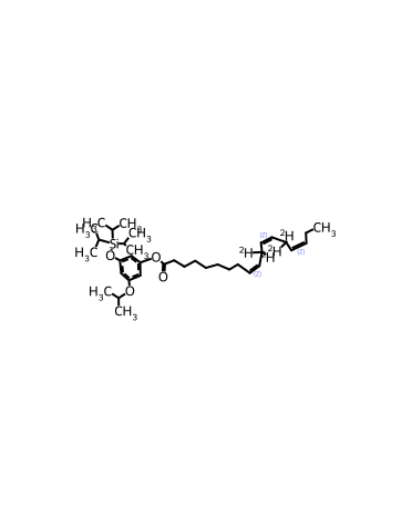 [2H]C([2H])(/C=C\CC)/C=C\C([2H])([2H])/C=C\CCCCCCCC(=O)Oc1cc(OC(C)C)cc(O[Si](C(C)C)(C(C)C)C(C)C)c1